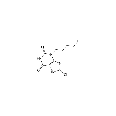 O=c1[nH]c(=O)n(CCCCF)c2nc(Cl)[nH]c12